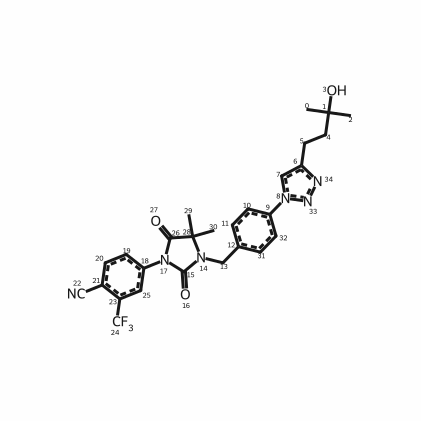 CC(C)(O)CCc1cn(-c2ccc(CN3C(=O)N(c4ccc(C#N)c(C(F)(F)F)c4)C(=O)C3(C)C)cc2)nn1